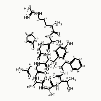 CCCC(NC(=O)[C@H](CC(N)=O)NC(=O)[C@H](Cc1ccc(O)cc1)NC(=O)[C@H](Cc1cnc[nH]1)NC(=O)[C@H](C)NC(=O)[C@@H](C)CCCNC(=N)N)C(=O)N[C@H](C(=O)NC(C(=O)N[C@@H](Cc1ccccc1)C(=O)O)[C@@H](C)O)C(C)C